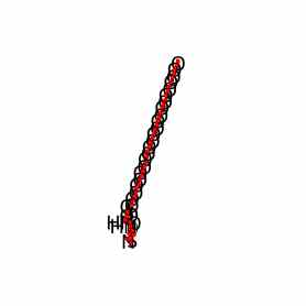 COCCOCCOCCOCCOCCOCCOCCOCCOCCOCCOCCOCCOCCOCCOCCOCCOCCOCCOCCOCCOCCOCCOC(=O)CCC(=O)OC1CNC(C(=O)N[C@@H](C)c2ccc(-c3scnc3C)cc2)C1